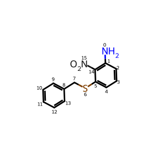 Nc1cccc(SCc2ccccc2)c1[N+](=O)[O-]